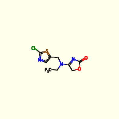 O=C1N=C(N(Cc2cnc(Cl)s2)CC(F)(F)F)CO1